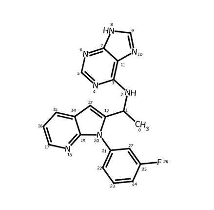 CC(Nc1ncnc2[nH]cnc12)c1cc2cccnc2n1-c1cccc(F)c1